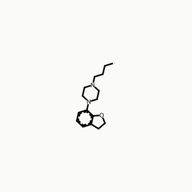 [CH2]CCCN1CCN(c2cccc3c2OCC3)CC1